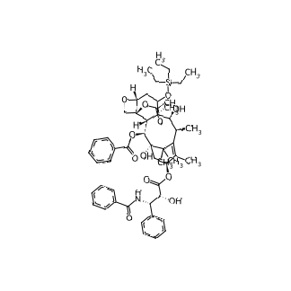 CC[Si](CC)(CC)OC1C[C@H]2OC[C@@]2(OC(C)=O)[C@H]2[C@H](OC(=O)c3ccccc3)[C@]3(O)C[C@H](OC(=O)[C@H](O)[C@@H](NC(=O)c4ccccc4)c4ccccc4)C(C)=C([C@H](C)[C@H](O)[C@]12C)C3(C)C